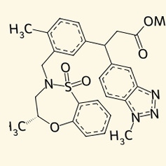 COC(=O)CC(c1ccc(C)c(CN2C[C@@H](C)Oc3ccccc3S2(=O)=O)c1)c1ccc2c(c1)nnn2C